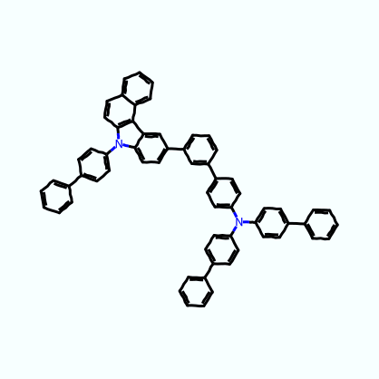 c1ccc(-c2ccc(N(c3ccc(-c4ccccc4)cc3)c3ccc(-c4cccc(-c5ccc6c(c5)c5c7ccccc7ccc5n6-c5ccc(-c6ccccc6)cc5)c4)cc3)cc2)cc1